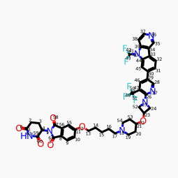 O=C1CCC(N2C(=O)c3ccc(OCCCCCN4CCC(OC5CN(c6ncc(-c7ccc8c9cnccc9n(C(F)F)c8c7)cc6C(F)(F)F)C5)CC4)cc3C2=O)C(=O)N1